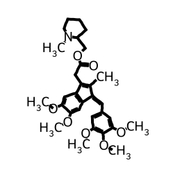 COc1cc2c(cc1OC)/C(=C\c1cc(OC)c(OC)c(OC)c1)C(C)=C2CC(=O)OCC1CCCCN1C